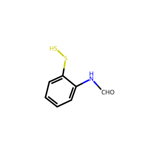 O=CNc1ccccc1SS